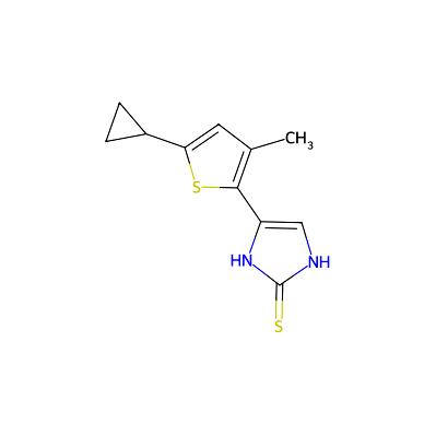 Cc1cc(C2CC2)sc1-c1c[nH]c(=S)[nH]1